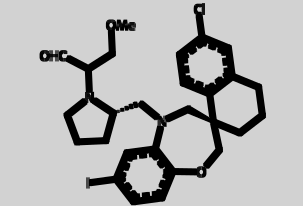 COCC(C=O)N1CCC[C@H]1CN1C[C@@]2(CCCc3cc(Cl)ccc32)COc2ccc(I)cc21